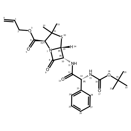 C=CCOC(=O)[C@@H]1N2C(=O)[C@@H](NC(=O)[C@H](NC(=O)OC(C)(C)C)c3ccccc3)[C@H]2SC1(C)C